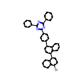 Brc1ccc(-c2ccc(-c3ccc(-c4nc(-c5ccccc5)nc(-c5ccccc5)n4)cc3)c3ccccc23)c2ccccc12